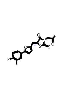 CC(=O)CN1C(=O)/C(=C/c2ccc(-c3ccc(F)c(C)c3)o2)SC1=S